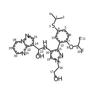 CC(C)Sc1ccc(OC(F)F)c(-c2nn(CCO)cc2NC(O)c2cnn3cccnc23)c1